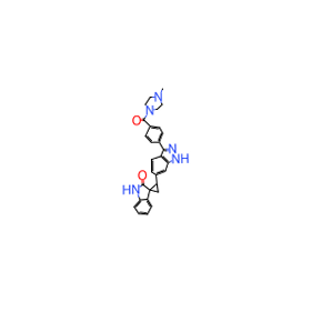 CN1CCN(C(=O)c2ccc(-c3n[nH]c4cc(C5CC56C(=O)Nc5ccccc56)ccc34)cc2)CC1